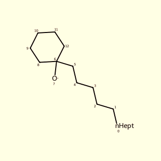 CCCCCCCCCCCCC1([O])CCCCC1